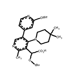 COc1cc(-c2cnc(C)c(C(OC(C)(C)C)C(=O)O)c2N2CCC(C)(C)CC2)ccn1